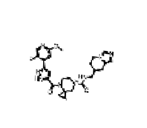 COc1cc(-c2cc(C(=O)N3CC[C@H](C(=O)NCC4CCn5cncc5C4)CC34CC4)[nH]n2)c(F)cn1